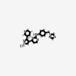 CCn1cc(-c2ccnc(Nc3ccc(Cn4cncn4)cc3)n2)c(-c2cccnc2)n1